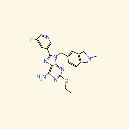 CCOc1nc(N)c2nc(-c3cncc(F)c3)n(Cc3ccc4c(c3)CN(C)C4)c2n1